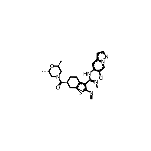 C=Nc1sc2c(c1/C(=N\C)Nc1cc3ccnn3cc1Cl)CC[C@H](C(=O)N1C[C@H](C)O[C@@H](C)C1)C2